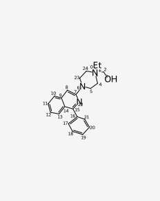 CC[N+]1(CO)CCN(c2cc3ccccc3c(-c3ccccc3)n2)CC1